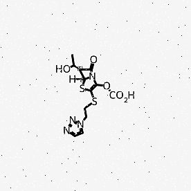 CC(O)[C@H]1C(=O)N2C(OC(=O)O)=C(SCCn3ccnn3)S[C@H]12